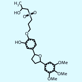 COc1cc(C2CCC(c3ccc(OCCCS(=O)(=O)CC(C)O)c(O)c3)O2)cc(OC)c1OC